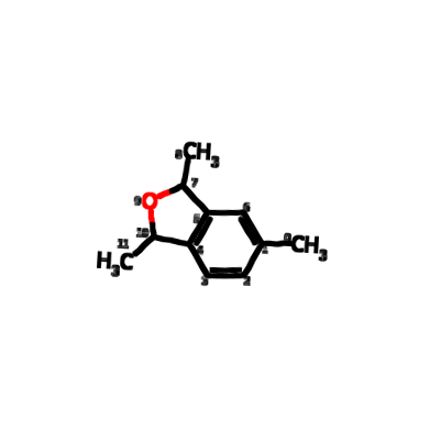 Cc1ccc2c(c1)C(C)OC2C